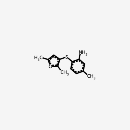 Cc1ccc(Sc2cc(C)oc2C)c(N)c1